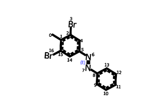 Cc1c(Br)cc(/N=N/c2ccccc2)cc1Br